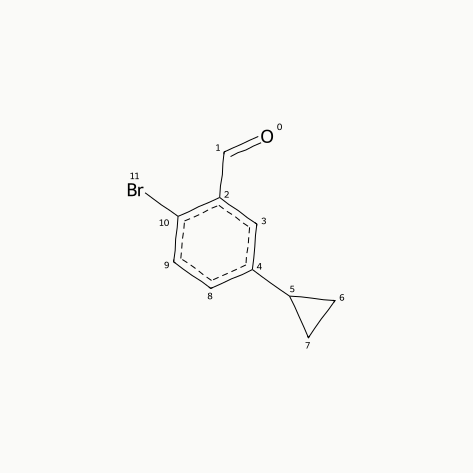 O=Cc1cc(C2CC2)ccc1Br